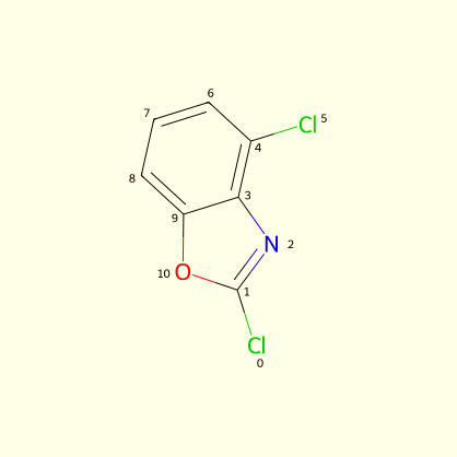 Clc1nc2c(Cl)cccc2o1